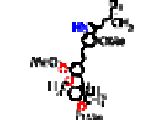 COCOc1cc(/C=C/c2cc(OC)c3c(CC=C(C)C)c[nH]c3c2)cc2c1O[C@]1(C)CC[C@@H](OCOC)C(C)(C)[C@H]1C2